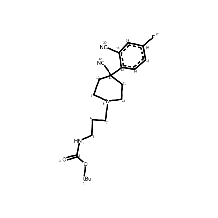 CC(C)(C)OC(=O)NCCCN1CCC(C#N)(c2ccc(F)cc2C#N)CC1